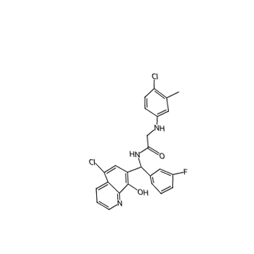 Cc1cc(NCC(=O)NC(c2cccc(F)c2)c2cc(Cl)c3cccnc3c2O)ccc1Cl